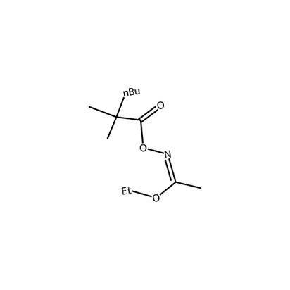 CCCCC(C)(C)C(=O)O/N=C(/C)OCC